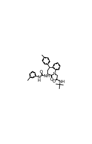 Cc1ccc(C2CC(NC(=O)Nc3cccc(C)c3)C(=O)N(CC(=O)NC(C)(C)C)c3ccccc32)cc1